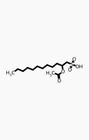 CCCCCCCCCCC(CS(=O)(=O)O)OC(C)=O